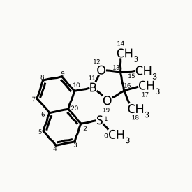 CSc1cccc2cccc(B3OC(C)(C)C(C)(C)O3)c12